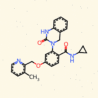 Cc1cccnc1COc1ccc(C(=O)NC2CC2)c(N2Cc3ccccc3NC2=O)c1